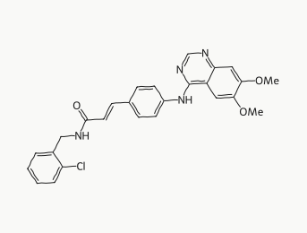 COc1cc2ncnc(Nc3ccc(/C=C/C(=O)NCc4ccccc4Cl)cc3)c2cc1OC